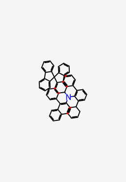 C1=CCC(c2cccc(-c3ccccc3)c2N(c2ccc3ccccc3c2-c2ccccc2)C2C=C3C(=CC2)C2(c4ccccc43)c3ccccc3-c3ccccc32)C=C1